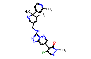 Cc1cc(C2(C)N=CC(CNc3nnc4cc(-c5c(F)cnn(C)c5=O)cnn34)=CC2C)ccn1